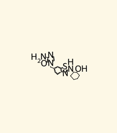 Nc1nccn(Cc2ccc3nc(NC4CCCCC4O)sc3c2)c1=O